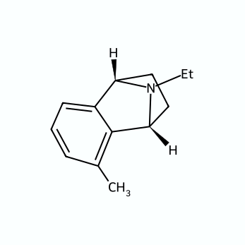 CCN1[C@@H]2CC[C@H]1c1cccc(C)c12